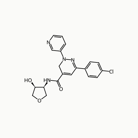 O=C(N[C@H]1COC[C@H]1O)C1=CC(c2ccc(Cl)cc2)=NN(c2cccnc2)C1